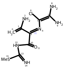 C=C(N)/C(=N\C(Cl)=C(N)N)C(=O)NC(=N)SC